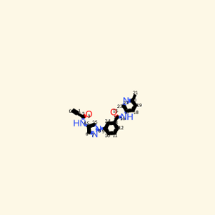 C#CC(=O)Nc1cnn(-c2cccc(C(=O)Nc3ccc(C)nc3)c2)c1